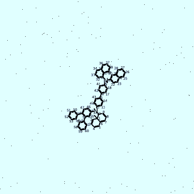 CC12C=CC=CC1=CC=CC2N(c1ccc(-c2ccc(N(c3ccc4ccccc4c3)c3cccc4ccccc34)cc2)cc1)c1ccc(-c2ccccc2)c(-c2ccccc2)c1